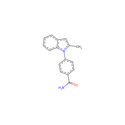 Cc1cc2ccccc2n1-c1ccc(C(N)=O)cc1